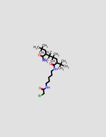 CC(C)(C)CC(C(N)=O)C(C)(C)C(C)(C)CC(C(=O)NCCCCCNC(=O)CBr)C(C)(C)C